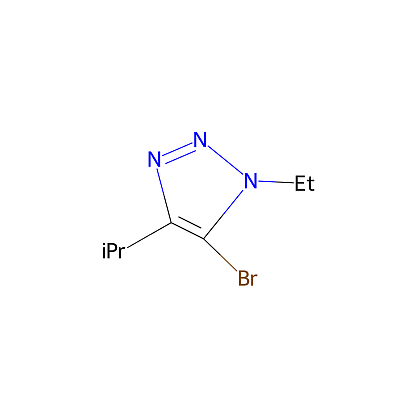 CCn1nnc(C(C)C)c1Br